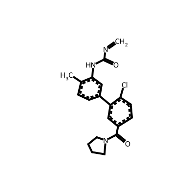 C=NC(=O)Nc1cc(-c2cc(C(=O)N3CCCC3)ccc2Cl)ccc1C